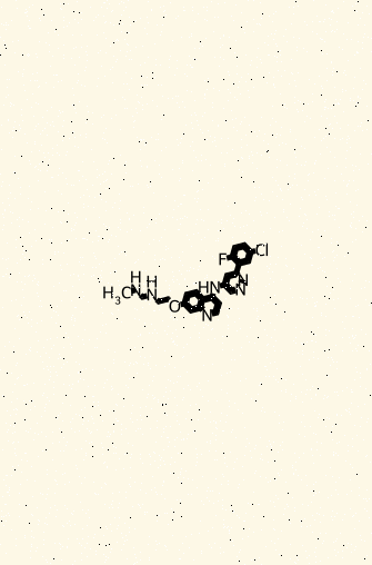 CNCNCCOc1ccc2c(Nc3cnnc(-c4cc(Cl)ccc4F)c3)ccnc2c1